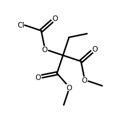 CCC(OC(=O)Cl)(C(=O)OC)C(=O)OC